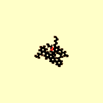 C=CCOc1c(CCCCC)cc(CCCCC)cc1[Si](C)(C)C1c2cc(-c3ccccc3CCCC)ccc2-c2ccc(-c3ccccc3CCCC)cc21